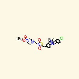 CC(C)(C)OC(=O)N1CCCN(CCN2C(=O)SC(=Cc3ccc4c(cnn4Cc4ccc(Cl)cc4C(F)(F)F)c3)C2=O)CC1